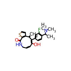 C=C1/C(c2ccc(C(C)N(C)C)c(F)c2)=C(O)\C=C/CNC(=O)c2sccc21